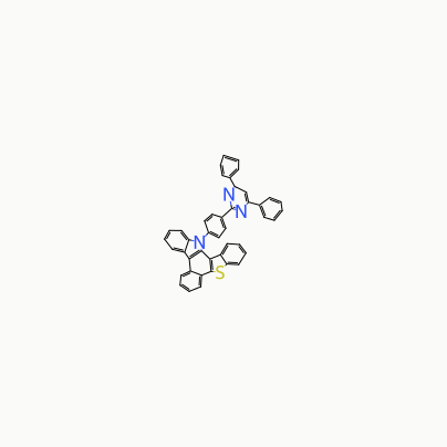 c1ccc(-c2cc(-c3ccccc3)nc(-c3ccc(-n4c5ccccc5c5c6ccccc6c6sc7ccccc7c6c54)cc3)n2)cc1